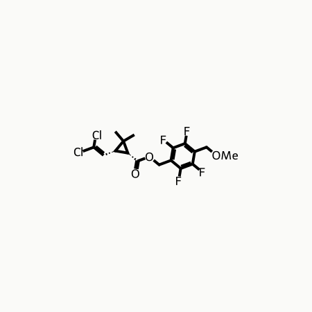 COCc1c(F)c(F)c(COC(=O)[C@@H]2[C@H](C=C(Cl)Cl)C2(C)C)c(F)c1F